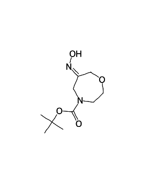 CC(C)(C)OC(=O)N1CCOCC(=NO)C1